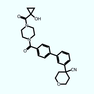 N#CC1(c2cccc(-c3ccc(C(=O)N4CCN(C(=O)C5(O)CC5)CC4)cc3)c2)CCOCC1